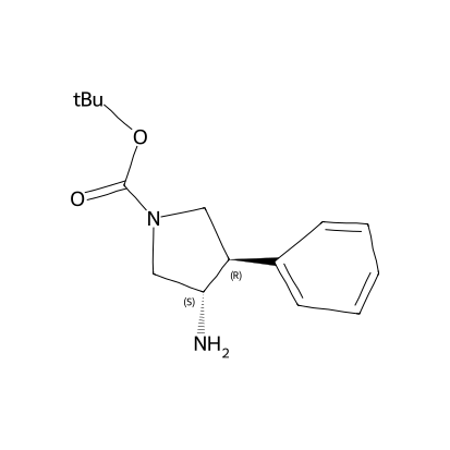 CC(C)(C)OC(=O)N1C[C@@H](N)[C@H](c2ccccc2)C1